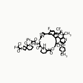 CO[C@@H](C)c1ncc(N2CCN(C)CC2)cc1-c1c2c3cc(c(F)cc3n1CC(F)(F)F)-c1csc(n1)C[C@H](NC(=O)[C@H](C(C)C)N1CCCC3(CN(C(=O)[C@H](F)Cl)C3)C1=O)C(=O)N1CCC[C@H](N1)C(=O)OCC(C)(C)C2